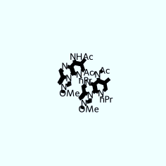 CCCN1CC(C)=C(N(C(C)=O)C(C)=O)C2=C1N1CN(OC)C=C1C=N2.CCCN1CC(C)=C(NC(C)=O)C2=C1N1CN(OC)C=C1C=N2